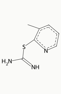 Cc1cccnc1SC(=N)N